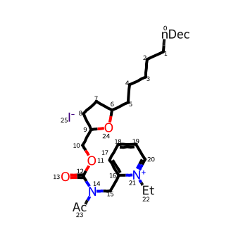 CCCCCCCCCCCCCCCC1CCC(COC(=O)N(Cc2cccc[n+]2CC)C(C)=O)O1.[I-]